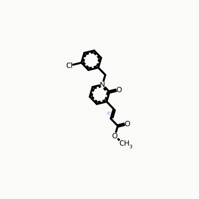 COC(=O)/C=C/c1cccn(Cc2cccc(Cl)c2)c1=O